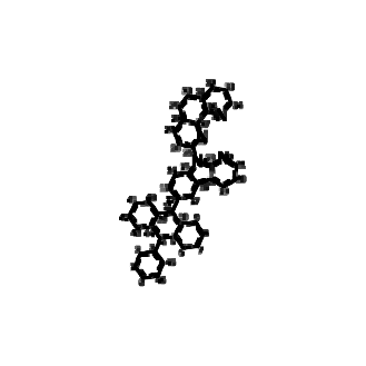 c1ccc(-c2c3ccccc3c(-c3ccc4c(c3)c3cccnc3n4-c3ccc4ccc5cccnc5c4n3)c3ccccc23)cc1